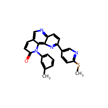 CSc1ccc(-c2ccc3ncc4ccc(=O)n(-c5cccc(C)c5)c4c3n2)cn1